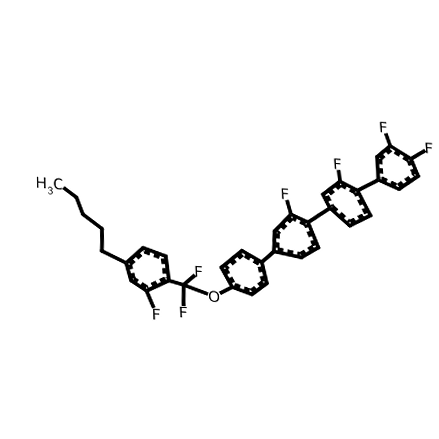 CCCCCc1ccc(C(F)(F)Oc2ccc(-c3ccc(-c4ccc(-c5ccc(F)c(F)c5)c(F)c4)c(F)c3)cc2)c(F)c1